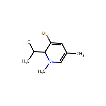 CC1=CN(C)C(C(C)C)C(Br)=C1